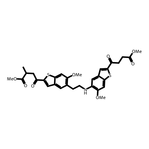 COC(=O)CCC(=O)c1cc2cc(NCCc3cc4cc(C(=O)CC(C)C(=O)OC)sc4cc3OC)c(OC)cc2s1